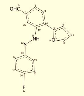 O=Cc1ccc(-c2ccco2)c(NSc2ccc(F)cc2)c1